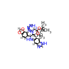 C=C(C(Nc1ccc2[nH]cnc2c1)c1ccc2c(c1)OCO2)N(CC(=O)OC(C)(C)C)/N=N\N